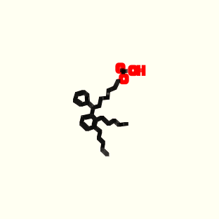 CCCCCc1cccc(C(CCCCCCOC(=O)O)c2ccccc2)c1CCCCC